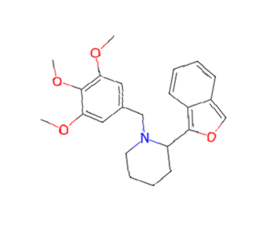 COc1cc(CN2CCCCC2c2occ3ccccc23)cc(OC)c1OC